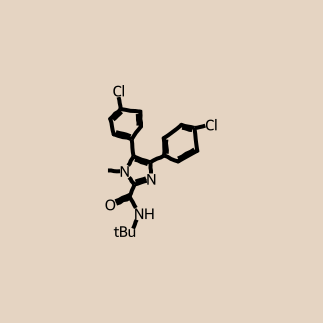 Cn1c(C(=O)NC(C)(C)C)nc(-c2ccc(Cl)cc2)c1-c1ccc(Cl)cc1